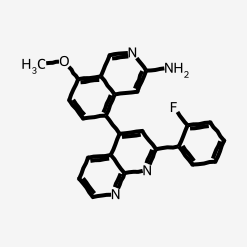 COc1ccc(-c2cc(-c3ccccc3F)nc3ncccc23)c2cc(N)ncc12